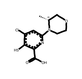 C[C@@H]1COCCN1c1cc(Cl)c(S)c(C(=O)O)n1